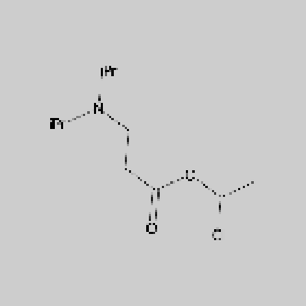 CC(Cl)OC(=O)CCN(C(C)C)C(C)C